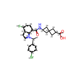 CC(c1ccc(Br)cc1)n1ccc2c(F)ccc(C(=O)NC3CC4(C3)CC(C(=O)O)C4)c21